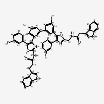 O=C(Cc1c[nH]c2ccccc12)NCc1nc(-c2cccc(F)c2)c(-c2cc(F)cc(-c3cc(F)cc(-c4nc(NC(=O)CCc5c[nH]c6ccccc56)oc4-c4cccc(F)c4)c3)c2)o1